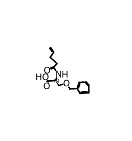 C=CCCC(=O)N[C@@H](COCc1ccccc1)C(=O)O